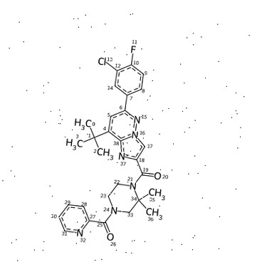 CC(C)(C)c1cc(-c2ccc(F)c(Cl)c2)nn2cc(C(=O)N3CCN(C(=O)c4ccccn4)CC3(C)C)nc12